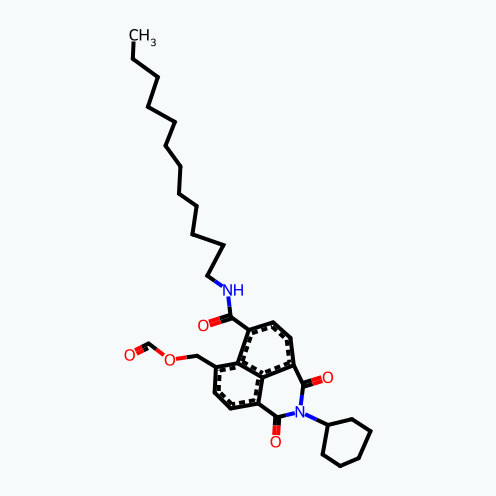 CCCCCCCCCCCCNC(=O)c1ccc2c3c(ccc(COC=O)c13)C(=O)N(C1CCCCC1)C2=O